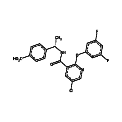 C[C@H](NC(=O)c1cc(Cl)cnc1Oc1cc(F)cc(F)c1)c1ccc(C(=O)O)cc1